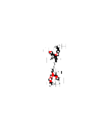 O=C(NCCCCCCNC(=O)c1nn(-c2ccc(Cl)cc2Cl)c2c1Cc1ccc(S(=O)(=O)O)cc1-2)c1nn(-c2ccc(Cl)cc2Cl)c2c1Cc1ccc(S(=O)(=O)O)cc1-2